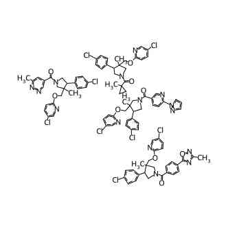 CC1(C(=O)N2CC(c3ccc(Cl)cc3)C(C)(COc3ccc(Cl)cn3)C2)CC1.CC1(COc2ccc(Cl)cn2)CN(C(=O)c2ccc(-n3cccn3)nc2)CC1c1ccc(Cl)cc1.Cc1cc(C(=O)N2CC(c3ccc(Cl)cc3)C(C)(COc3ccc(Cl)cn3)C2)cnn1.Cc1noc(-c2ccc(C(=O)N3CC(c4ccc(Cl)cc4)C(C)(COc4ccc(Cl)cn4)C3)cc2)n1